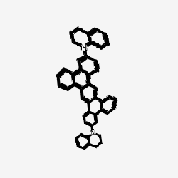 c1ccc2c(c1)CCCN2c1ccc2c(c1)c1ccccc1c1cc3c4ccc(N5CCCc6ccccc65)cc4c4ccccc4c3cc21